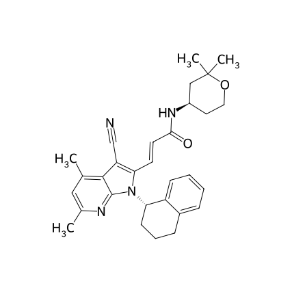 Cc1cc(C)c2c(C#N)c(/C=C/C(=O)N[C@@H]3CCOC(C)(C)C3)n([C@H]3CCCc4ccccc43)c2n1